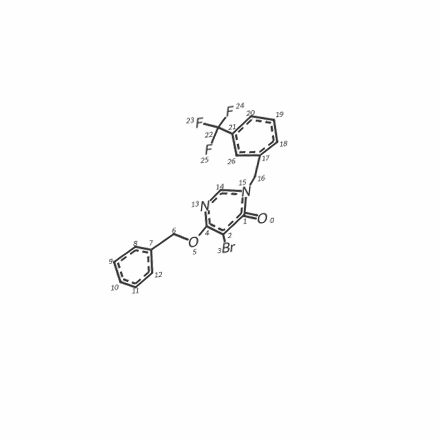 O=c1c(Br)c(OCc2ccccc2)ncn1Cc1cccc(C(F)(F)F)c1